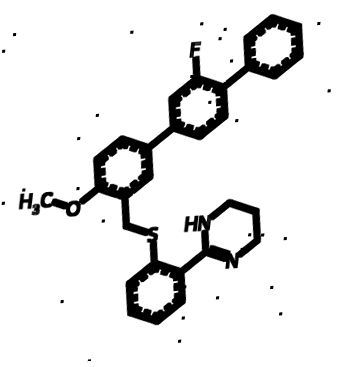 COc1ccc(-c2ccc(-c3ccccc3)c(F)c2)cc1CSc1ccccc1C1=NCCCN1